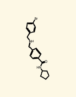 O=C(NC1CCCC1)c1ccc(CNCc2ccc(Br)cc2)cc1